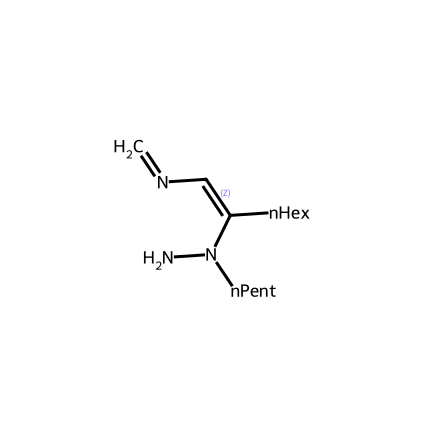 C=N/C=C(/CCCCCC)N(N)CCCCC